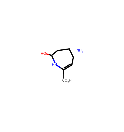 N.O=C(O)C1=CCCCC(O)N1